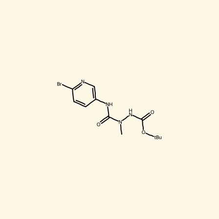 CN(NC(=O)OC(C)(C)C)C(=O)Nc1ccc(Br)nc1